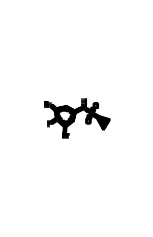 O=S(=O)(Nc1cc(Br)c(F)c(Br)c1)C1CC1